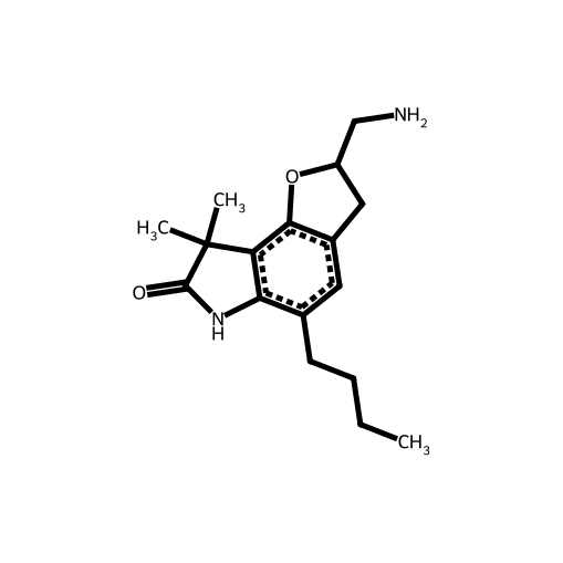 CCCCc1cc2c(c3c1NC(=O)C3(C)C)OC(CN)C2